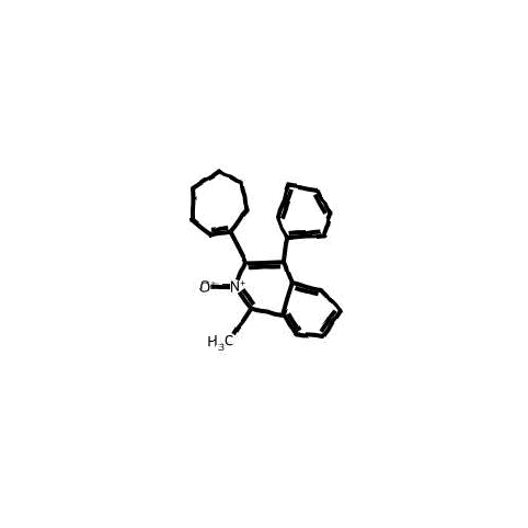 Cc1c2ccccc2c(-c2ccccc2)c(C2=CCCCCC2)[n+]1[O-]